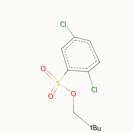 CC(C)(C)COS(=O)(=O)c1cc(Cl)ccc1Cl